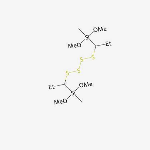 CCC(SSSSC(CC)[Si](C)(OC)OC)[Si](C)(OC)OC